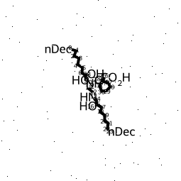 CCCCCCCCCCCCCCCCC(O)CNCCNCC(O)CCCCCCCCCCCCCCCC.O=C(O)C1(C(=O)O)CCCCC1